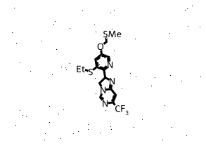 CCSc1cc(OCSC)cnc1C1CN2C=NC(C(F)(F)F)=CC2=N1